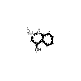 O=[13c]1cc(O)c2ccccc2o1